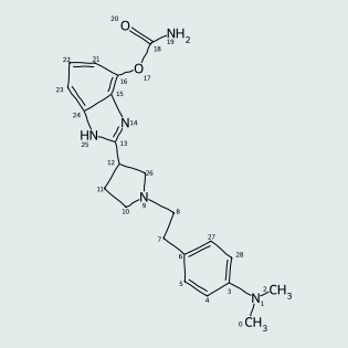 CN(C)c1ccc(CCN2CCC(c3nc4c(OC(N)=O)cccc4[nH]3)C2)cc1